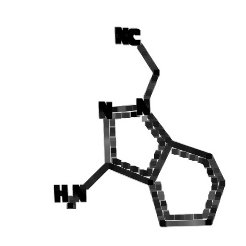 N#CCn1nc(N)c2ccccc21